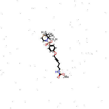 CC(C)(C)OC(=O)NCCCC#CCOc1ccc(S(=O)(=O)N2CCSC(C)(C)C2(C)C(=O)O)cc1